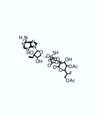 C=C[C@@]1(O)[C@H](O)[C@@H](COP(=O)(S)OP(=O)(O)OC2OC([C@@H](F)COC(C)=O)C(OC(C)=O)C(O)C2OC(C)=O)O[C@H]1n1cnc2c(N)ncnc21